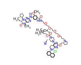 CC[C@@H]1C(=O)N(C)c2cnc(Nc3ccc(C(=O)NCCOCCOCCOCCOCCCN4CCC[C@H]4COc4nc5c(c(N6CCN(C(=O)OCC[Si](C)(C)C)[C@@H](CC#N)C6)n4)CCN(c4cccc6cccc(Cl)c46)C5)cc3OC)nc2N1C1CCCC1